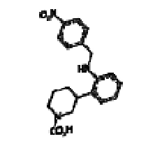 O=C(O)N1CCCC(c2ccccc2NCc2ccc([N+](=O)[O-])cc2)C1